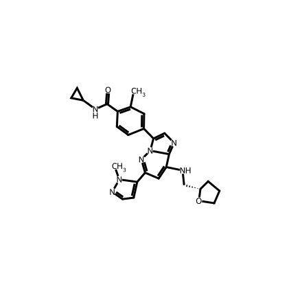 Cc1cc(-c2cnc3c(NC[C@@H]4CCCO4)cc(-c4ccnn4C)nn23)ccc1C(=O)NC1CC1